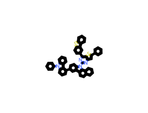 c1ccc(-c2cc3nc(-n4c5ccc(-c6cccc7c6c6ccccc6n7-c6ccccc6)cc5c5ccc6ccccc6c54)nc(-c4ccc5sc6ccccc6c5c4)c3s2)cc1